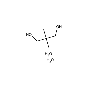 CC(C)(CO)CO.O.O